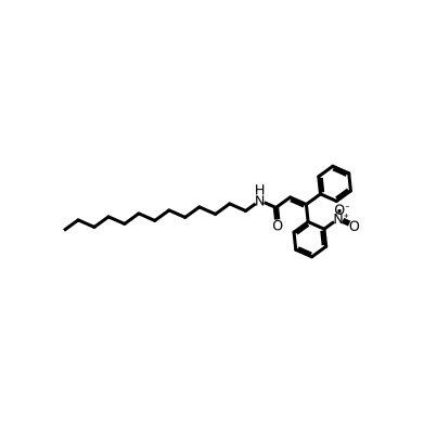 CCCCCCCCCCCCCNC(=O)/C=C(/c1ccccc1)c1ccccc1[N+](=O)[O-]